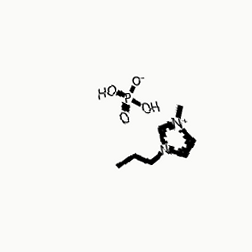 CCCn1cc[n+](C)c1.O=P([O-])(O)O